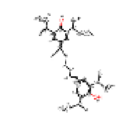 CCCCCCCCC(CC)C1=CC(=C(C)CCCCc2cc(C(C)CCCCCCC)c(O)c(C(CC)CCCCCCCC)c2)C=C(C(C)CCCCCCC)C1=O